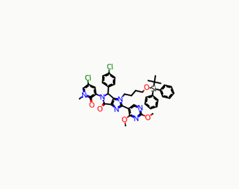 COc1ncc(-c2nc3c(n2CCCCO[Si](c2ccccc2)(c2ccccc2)C(C)(C)C)C(c2ccc(Cl)cc2)N(c2cc(Cl)cn(C)c2=O)C3=O)c(OC)n1